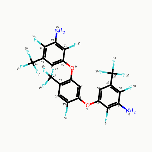 Nc1c(F)c(Oc2cc(Oc3cc(C(F)(F)F)c(F)c(N)c3F)c(C(F)(F)F)cc2F)cc(C(F)(F)F)c1F